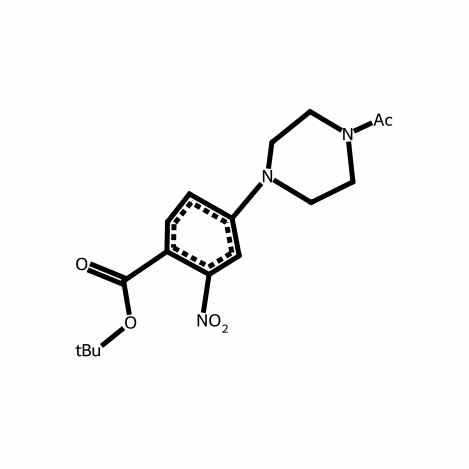 CC(=O)N1CCN(c2ccc(C(=O)OC(C)(C)C)c([N+](=O)[O-])c2)CC1